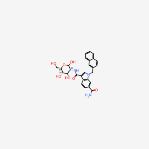 NC(=O)c1ccc2c(C(=O)N[C@H]3C(O)O[C@H](CO)[C@@H](O)C3O)cn(Cc3ccc4ccccc4c3)c2c1